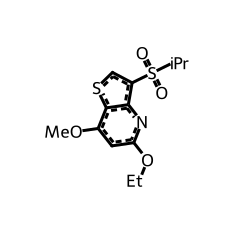 CCOc1cc(OC)c2scc(S(=O)(=O)C(C)C)c2n1